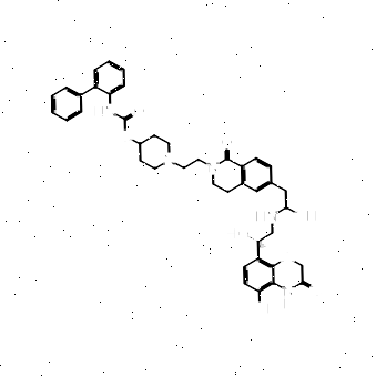 CC(Cc1ccc2c(c1)CCN(CCN1CCC(OC(=O)Nc3ccccc3-c3ccccc3)CC1)C2=O)NC[C@H](O)c1ccc(O)c2c1OCC(=O)N2